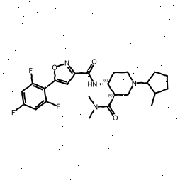 CC1CCCC1N1CC[C@@H](NC(=O)c2cc(-c3c(F)cc(F)cc3F)on2)[C@H](C(=O)N(C)C)C1